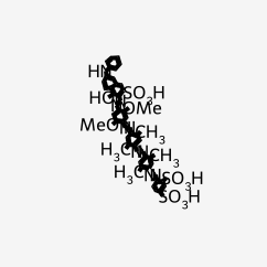 COc1cc(N=Nc2c(S(=O)(=O)O)cc3cc(Nc4ccccc4)ccc3c2O)c(OC)cc1N=Nc1cc(C)c(N=Nc2cc(C)c(N=Nc3ccc(S(=O)(=O)O)cc3S(=O)(=O)O)cc2C)cc1C